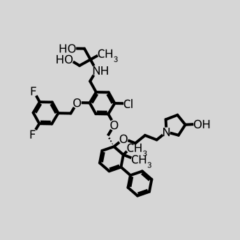 CC(CO)(CO)NCc1cc(Cl)c(OC[C@@]2(OCCCN3CCC(O)C3)C=CC=C(c3ccccc3)C2(C)C)cc1OCc1cc(F)cc(F)c1